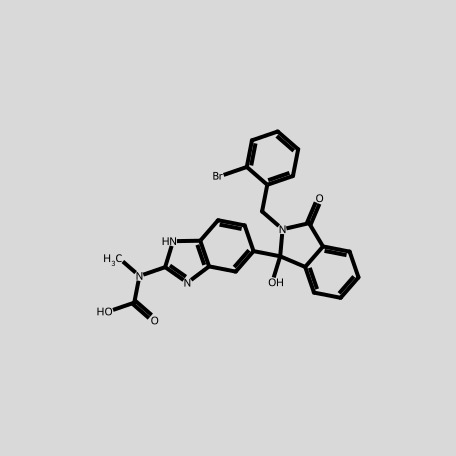 CN(C(=O)O)c1nc2cc(C3(O)c4ccccc4C(=O)N3Cc3ccccc3Br)ccc2[nH]1